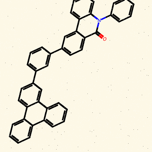 O=c1c2ccc(-c3cccc(-c4ccc5c6ccccc6c6ccccc6c5c4)c3)cc2c2ccccc2n1-c1ccccc1